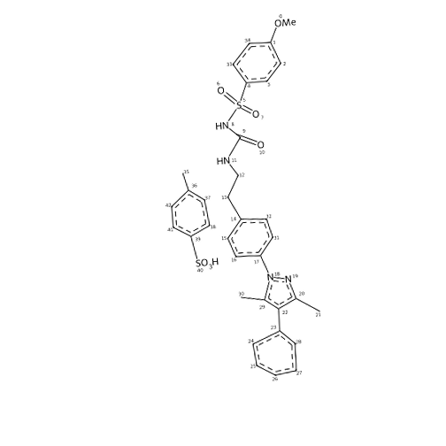 COc1ccc(S(=O)(=O)NC(=O)NCCc2ccc(-n3nc(C)c(-c4ccccc4)c3C)cc2)cc1.Cc1ccc(S(=O)(=O)O)cc1